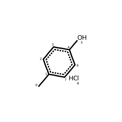 Cc1ccc(O)cc1.Cl